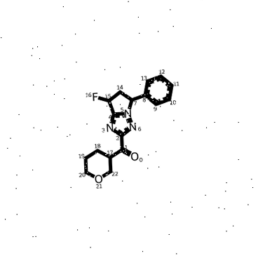 O=C(c1nc2n(n1)C(c1ccccc1)CC2F)C1CCCOC1